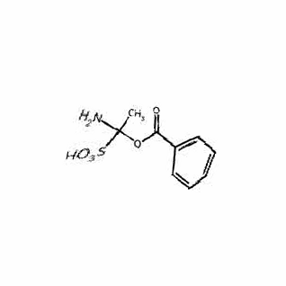 CC(N)(OC(=O)c1ccccc1)S(=O)(=O)O